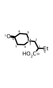 CCC(CN1CCC(=O)CC1)C(=O)O